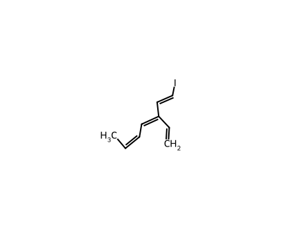 C=CC(/C=C/I)=C\C=C/C